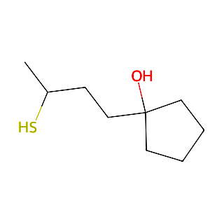 CC(S)CCC1(O)CCCC1